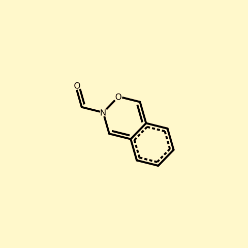 O=CN1C=c2ccccc2=CO1